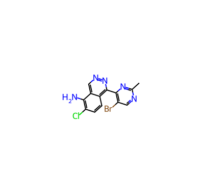 Cc1ncc(Br)c(-c2nncc3c(N)c(Cl)ccc23)n1